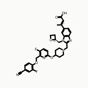 C/C(=C\C(=O)O)c1ccc2nc(CN3CCC(Oc4ccc(F)c(COc5ccc(C#N)cc5F)n4)CC3)n(C[C@@H]3CCO3)c2c1